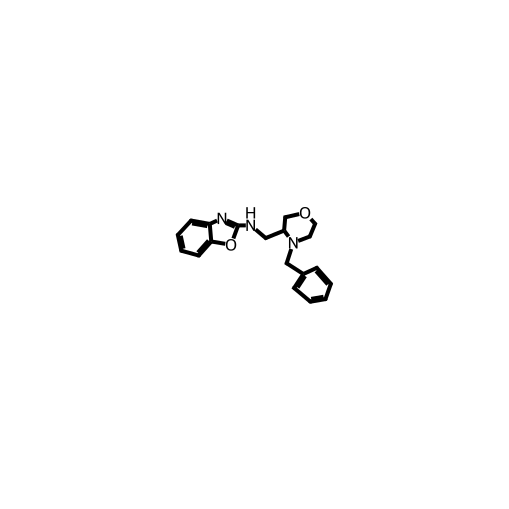 c1ccc(CN2CCOCC2CNc2nc3ccccc3o2)cc1